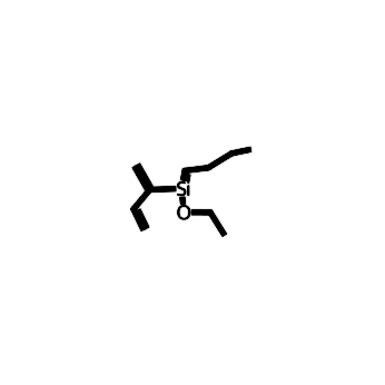 C=CC(=C)[Si](=CCCC)OCC